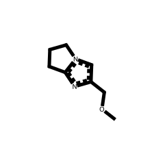 COCc1cn2c(n1)CCC2